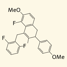 COc1ccc(C2Cc3ccc(OC)c(F)c3C(Cc3c(F)cccc3F)=C2C)cc1